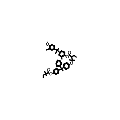 CCC(C(=O)Oc1ccc(C(C)(C)c2ccc(OC)c(C)c2)cc1C)C(C)(C)Oc1ccc(C(C)(c2ccccc2)c2ccc(OC(=O)C(C)(C)CC)cc2)cc1